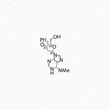 CNC1NC=Nc2c1ncn2[C@H]1C[C@@H](OP)[C@@H](CO)O1